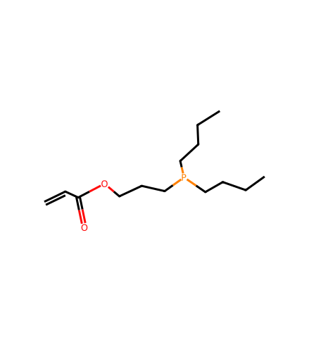 C=CC(=O)OCCCP(CCCC)CCCC